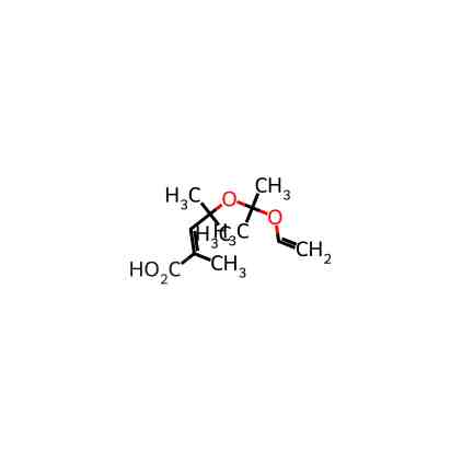 C=COC(C)(C)OC(C)(C)C=C(C)C(=O)O